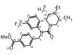 CCN1[C@H](C)CN(C(=O)N(Cc2ccc(C(=O)OC)cc2)c2cccc(C(F)(F)F)c2)C[C@@H]1C